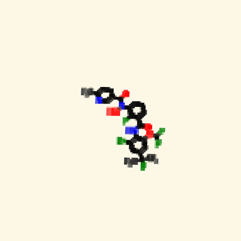 O=C(Nc1c(Br)cc(C(F)(C(F)(F)F)C(F)(F)F)cc1OC(F)F)c1cccc(N(O)C(=O)c2ccc(C(F)(F)F)nc2)c1F